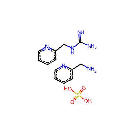 N=C(N)NCc1ccccn1.NCc1ccccn1.O=S(=O)(O)O